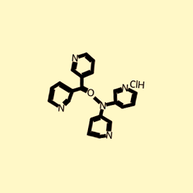 CN(c1cccnc1)c1cccnc1.Cl.O=C(c1cccnc1)c1cccnc1